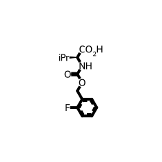 CC(C)[C@H](NC(=O)OCc1ccccc1F)C(=O)O